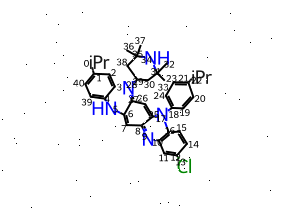 CC(C)c1ccc(Nc2cc3nc4cc(Cl)ccc4n(-c4ccc(C(C)C)cc4)c-3cc2=NC2CC(C)(C)NC(C)(C)C2)cc1